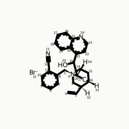 C=C[C@H]1C[N@+]2(Cc3ccccc3C#N)CC[C@H]1C[C@H]2C(O)c1ccnc2ccccc12.[Br-]